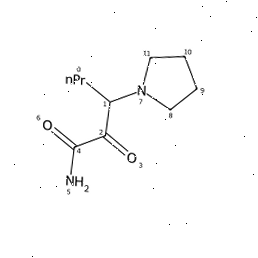 CCCC(C(=O)C(N)=O)N1CCCC1